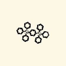 C1=CC([Si](c2ccccc2)(c2ccccc2)c2ccc([Si](c3ccccc3)(c3ccccc3)c3ccccc3)cc2)=CCC1